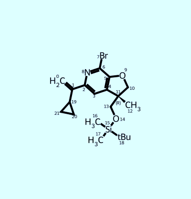 C=C(c1cc2c(c(Br)n1)OC[C@]2(C)CO[Si](C)(C)C(C)(C)C)C1CC1